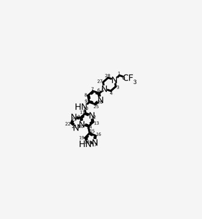 FC(F)(F)CN1CCN(c2ccc(Nc3ncc(-c4cn[nH]c4)n4ncnc34)cn2)CC1